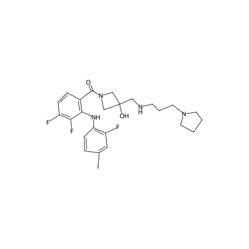 O=C(c1ccc(F)c(F)c1Nc1ccc(I)cc1F)N1CC(O)(CNCCCN2CCCC2)C1